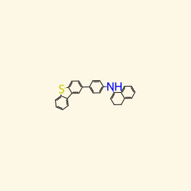 C1=C(Nc2ccc(-c3ccc4sc5ccccc5c4c3)cc2)c2ccccc2CC1